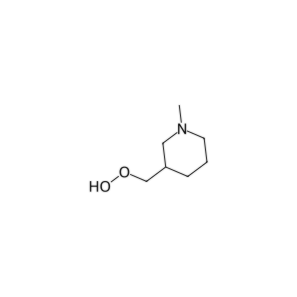 CN1CCCC(COO)C1